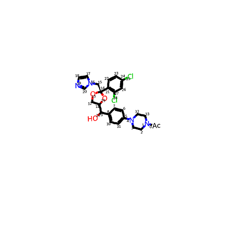 CC(=O)N1CCN(c2ccc(C(O)C3CO[C@](Cn4ccnc4)(c4ccc(Cl)cc4Cl)O3)cc2)CC1